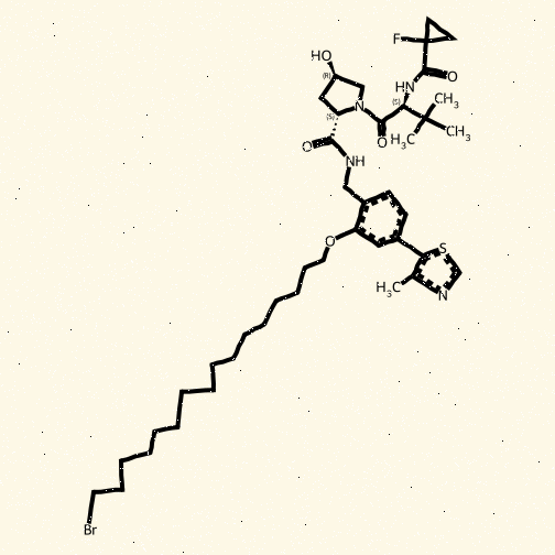 Cc1ncsc1-c1ccc(CNC(=O)[C@@H]2C[C@@H](O)CN2C(=O)[C@@H](NC(=O)C2(F)CC2)C(C)(C)C)c(OCCCCCCCCCCCCCCCCBr)c1